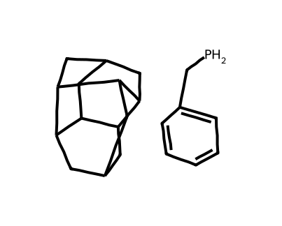 C1C2CC3C4CC5CC(C14)C(C2)C3C5.PCc1ccccc1